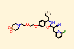 CCCC(NC(=O)/C(C#N)=C/c1cccc(F)n1)c1ccc(OCCOCCN2CCS(=O)(=O)CC2)cc1